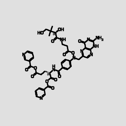 CC(C)(CO)[C@@H](O)C(=O)NCCC(=O)ON(Cc1cnc2[nH]c(N)nc(=O)c2n1)c1ccc(C(=O)N[C@@H](CCC(=O)OC(=O)c2cccnc2)C(=O)OC(=O)c2cccnc2)cc1